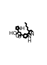 CCCCCc1ccnc2[nH]c3ccc(C(=O)CC(C(=O)O)c4ccc[nH]4)cc3c12